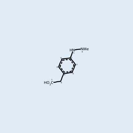 CNNc1ccc(CC(=O)O)cc1